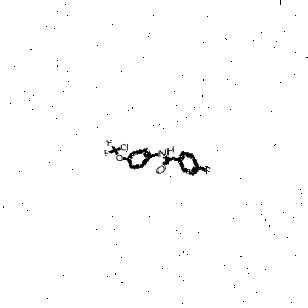 O=C(Nc1ccc(OC(F)(F)Cl)cc1)c1ccc(F)cc1